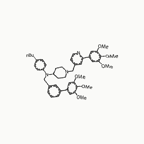 CCCCc1ccc(N(Cc2cccc(-c3cc(OC)c(OC)c(OC)c3)c2)C2CCN(Cc3ccnc(-c4cc(OC)c(OC)c(OC)c4)c3)CC2)cc1